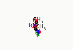 CCOP(=O)(Cc1ccc(-c2noc(C(F)(F)F)n2)cc1)NCc1cccc(OC)c1